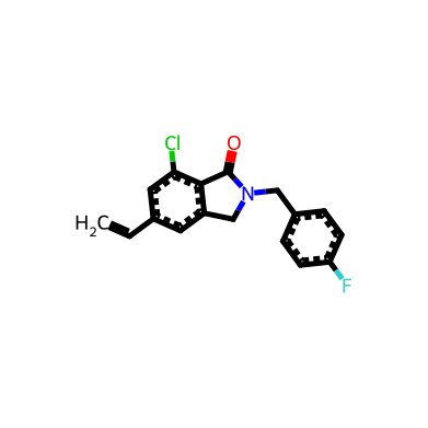 C=Cc1cc(Cl)c2c(c1)CN(Cc1ccc(F)cc1)C2=O